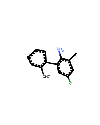 Cc1cc(Cl)cc(-c2ccccc2C=O)c1N